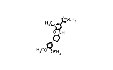 CCn1cc(-c2cnn(C)c2)cc(N[C@H]2CC[C@@H](c3ccc(OC)c(OC)c3)CC2)c1=O